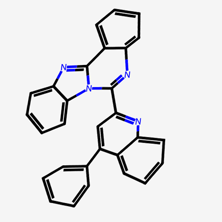 c1ccc(-c2cc(-c3nc4ccccc4c4nc5ccccc5n34)nc3ccccc23)cc1